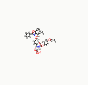 COc1ccc(OC(=O)N(CC(=O)O)Cc2ccc(OCC(C)c3nc(-c4ccccc4)oc3C)cc2)cc1